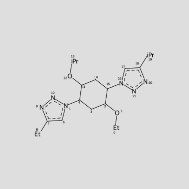 CCOC1CC(n2cc(CC)nn2)C(OC(C)C)CC1n1cc(C(C)C)nn1